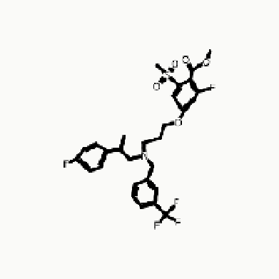 COC(=O)c1c(F)cc(OCCCN(Cc2cccc(C(F)(F)F)c2)CC(C)c2ccc(F)cc2)cc1S(C)(=O)=O